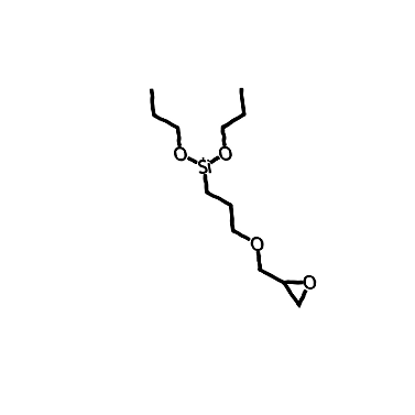 CCCO[Si](CCCOCC1CO1)OCCC